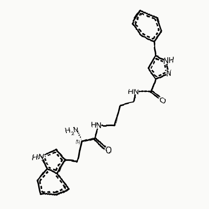 N[C@@H](Cc1c[nH]c2ccccc12)C(=O)NCCCNC(=O)c1cc(-c2ccccc2)[nH]n1